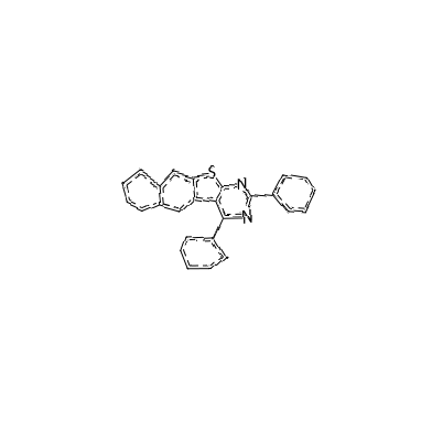 c1ccc(-c2nc(-c3ccccc3)c3c(n2)sc2cc4ccccc4cc23)cc1